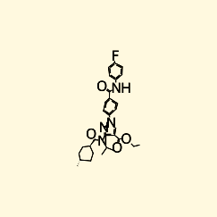 CCOC(=O)c1cn(-c2ccc(C(=O)Nc3ccc(F)cc3)cc2)nc1N(C(=O)[C@H]1CC[C@H](C)CC1)C(C)C